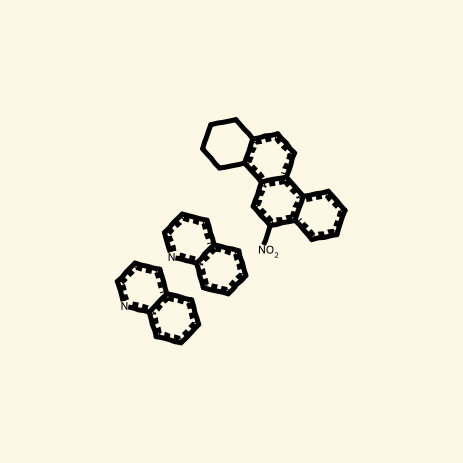 O=[N+]([O-])c1cc2c3c(ccc2c2ccccc12)CCCC3.c1ccc2ncccc2c1.c1ccc2ncccc2c1